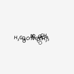 CCOC(=O)c1ccc(-c2noc([C@H](CCCC3CCCCC3)CC(=O)OC(C)(C)C)n2)cc1